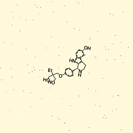 CCC(CO)(CO)COc1ccc([C@@H]2NCCc3c2[nH]c2ccc(O)cc32)cc1